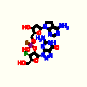 Nc1nc2c(nnn2[C@@H]2O[C@H](CO)[C@H](F)[C@H]2OP(O)(=S)OC[C@H]2O[C@@H](n3ccc4c(N)ncnc43)C[C@@H]2O)c(=O)[nH]1